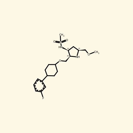 COC[C@@H]1C[C@H](NS(C)(=O)=O)[C@H](COC2CCC(c3cccc(F)c3)CC2)N1